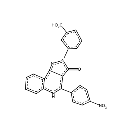 O=C(O)c1cccc(-n2nc3c4ccccc4[nH]c(-c4ccc([N+](=O)[O-])cc4)c-3c2=O)c1